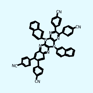 N#Cc1ccc(-c2cc3nc4c(nc3cc2-c2ccc(C#N)cc2)N(c2ccc3ccccc3c2)c2nc(-c3ccc(C#N)cc3)c(-c3ccc(C#N)cc3)nc2N4c2ccc3ccccc3c2)cc1